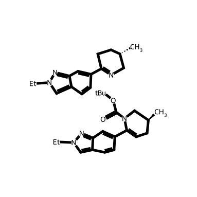 CCn1cc2ccc(C3=CC[C@H](C)CN3C(=O)OC(C)(C)C)cc2n1.CCn1cc2ccc(C3=NC[C@@H](C)CC3)cc2n1